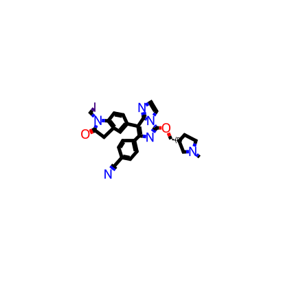 CN1CC[C@@H](COc2nc(-c3ccc(C#N)cc3)c(-c3ccc4c(c3)CC(=O)N4CI)c3nccn23)C1